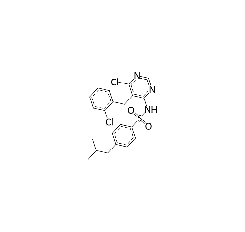 CC(C)Cc1ccc(S(=O)(=O)Nc2ncnc(Cl)c2Cc2ccccc2Cl)cc1